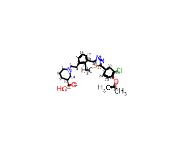 CCc1c(CCN2CCC[C@H](C(=O)O)C2)cccc1-c1nnc(-c2ccc(OC(C)C)c(Cl)c2)s1